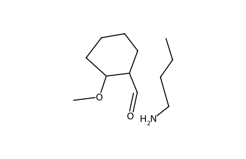 CCCCN.COC1CCCCC1C=O